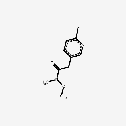 CON(C)C(=O)Cc1ccc(Cl)nc1